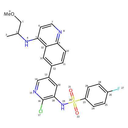 COCC(C)Nc1ccnc2ccc(-c3cnc(Cl)c(NS(=O)(=O)c4ccc(F)cc4)c3)cc12